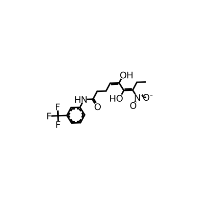 CC/C(=C(O)\C(O)=C/CCC(=O)Nc1cccc(C(F)(F)F)c1)[N+](=O)[O-]